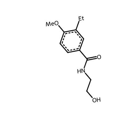 CCc1cc(C(=O)NCCO)ccc1OC